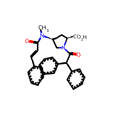 CN(C(=O)/C=C/c1ccccc1)[C@H]1C[C@@H](C(=O)O)N(C(=O)C(c2ccccc2)c2ccccc2)C1